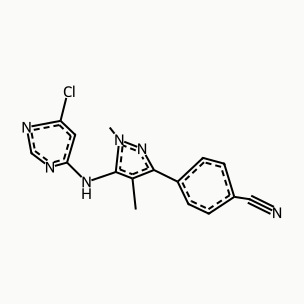 Cc1c(-c2ccc(C#N)cc2)nn(C)c1Nc1cc(Cl)ncn1